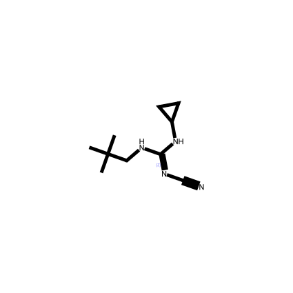 CC(C)(C)CN/C(=N/C#N)NC1CC1